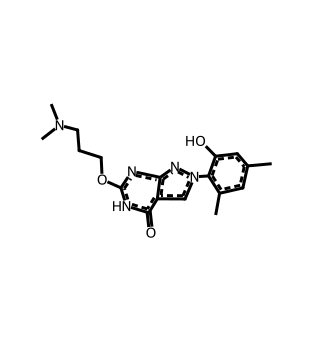 Cc1cc(C)c(-n2cc3c(=O)[nH]c(OCCCN(C)C)nc3n2)c(O)c1